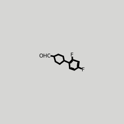 O=CC1CCC(c2ccc(F)cc2F)CC1